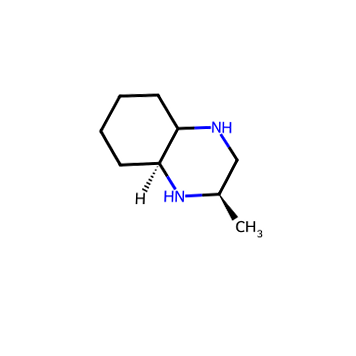 C[C@@H]1CNC2CCCC[C@@H]2N1